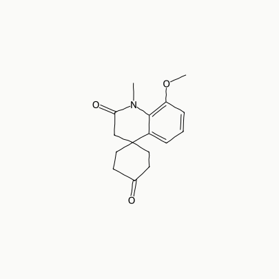 COc1cccc2c1N(C)C(=O)CC21CCC(=O)CC1